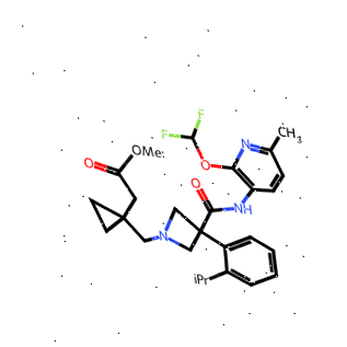 COC(=O)CC1(CN2CC(C(=O)Nc3ccc(C)nc3OC(F)F)(c3ccccc3C(C)C)C2)CC1